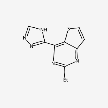 CCc1nc(-c2nnc[nH]2)c2sccc2n1